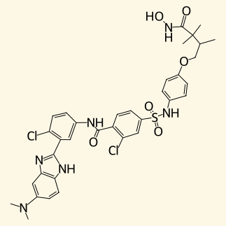 CC(COc1ccc(NS(=O)(=O)c2ccc(C(=O)Nc3ccc(Cl)c(-c4nc5cc(N(C)C)ccc5[nH]4)c3)c(Cl)c2)cc1)C(C)(C)C(=O)NO